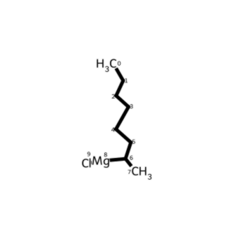 CCCCCC[CH](C)[Mg][Cl]